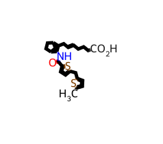 Cc1ccc(Cc2ccc(C(=O)NC3C4CCC(C4)C3C/C=C/CCCC(=O)O)s2)s1